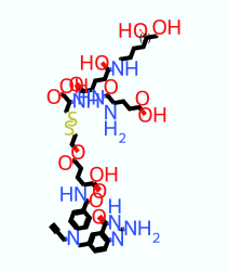 C#CCN(Cc1ccc2nc(N)[nH]c(=O)c2c1)c1ccc(C(=O)NC(CCC(=O)OCCSSCC(NC(=O)C(CCC(O)NCCCC[C@H](O)CO)NC(=O)C(N)CCC(=O)O)C(=O)O)C(=O)O)cc1